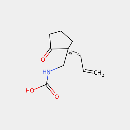 C=CC[C@@]1(CNC(=O)O)CCCC1=O